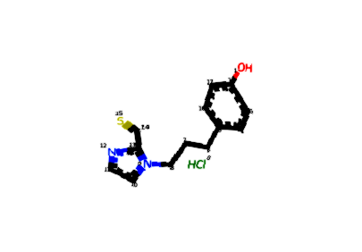 Cl.Oc1ccc(CCCn2ccnc2C=S)cc1